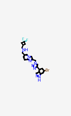 FC1(F)CC(CNCc2ccc3nc(Cn4cc(-c5cc(Br)cc6[nH]ncc56)nn4)cn3c2)C1